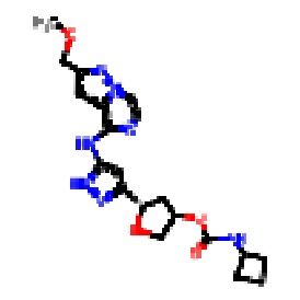 COCc1cc2c(Nc3cc([C@H]4C[C@@H](OC(=O)NC5CCC5)CO4)n[nH]3)nccn2n1